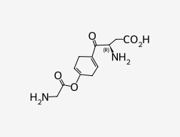 NCC(=O)OC1=CCC(C(=O)[C@H](N)CC(=O)O)=CC1